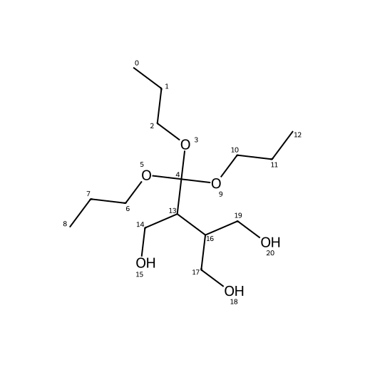 CCCOC(OCCC)(OCCC)C(CO)C(CO)CO